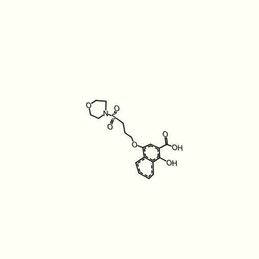 O=C(O)c1cc(OCCCS(=O)(=O)N2CCOCC2)c2ccccc2c1O